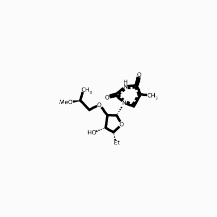 CC[C@H]1O[C@@H](n2cc(C)c(=O)[nH]c2=O)C(OC[C@H](C)OC)[C@H]1O